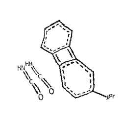 CC(C)c1ccc2c(c1)=c1ccccc1=2.N=C=O.N=C=O